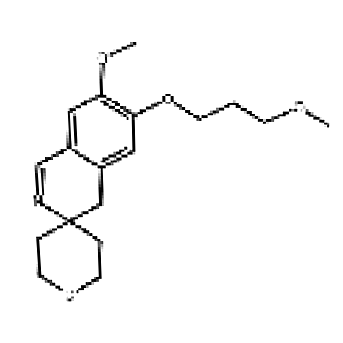 COCCCOc1cc2c(cc1OC)C=NC1(CCOCC1)C2